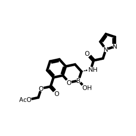 CC(=O)OCOC(=O)c1cccc2c1OB(O)[C@@H](NC(=O)Cn1cccn1)C2